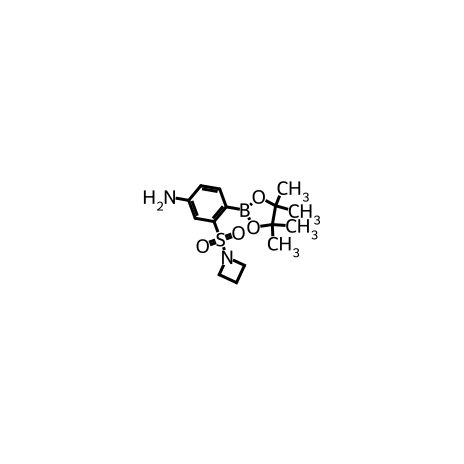 CC1(C)OB(c2ccc(N)cc2S(=O)(=O)N2CCC2)OC1(C)C